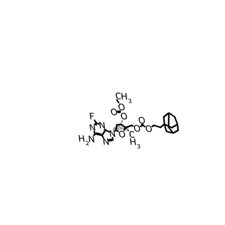 CCOC(=O)O[C@H]1C[C@H](n2cnc3c(N)nc(F)nc32)O[C@]1(C)COC(=O)OCCC12CC3CC(CC(C3)C1)C2